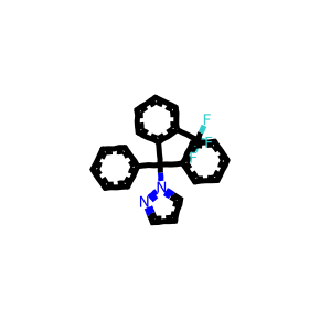 FC(F)(F)c1ccccc1C(c1ccccc1)(c1ccccc1)n1cccn1